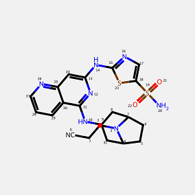 N#CCCN1C2CCC1CC(Nc1nc(Nc3ncc(S(N)(=O)=O)s3)cc3ncccc13)C2